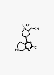 N#CCC1CN(c2nc(Cl)nc3c2CCNC3)CCN1C(=O)O